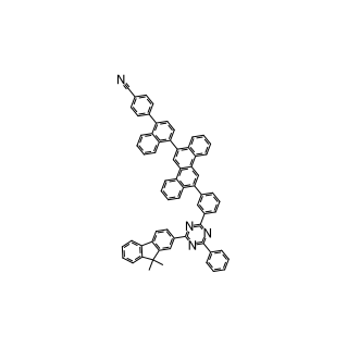 CC1(C)c2ccccc2-c2ccc(-c3nc(-c4ccccc4)nc(-c4cccc(-c5cc6c7ccccc7c(-c7ccc(-c8ccc(C#N)cc8)c8ccccc78)cc6c6ccccc56)c4)n3)cc21